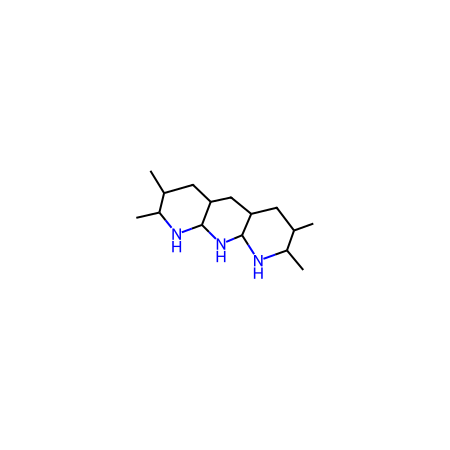 CC1CC2CC3CC(C)C(C)NC3NC2NC1C